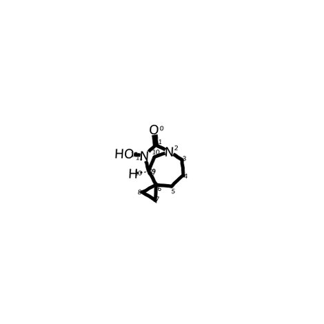 O=C1N2CCCC3(CC3)[C@H](C2)N1O